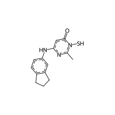 Cc1nc(Nc2ccc3c(c2)CCC3)cc(=O)n1S